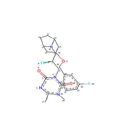 Cc1nc(=O)n(C[C@@H](F)CN2C3CCC2CC(OCc2cccc(F)c2)C3)c(=O)n1C